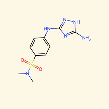 CN(C)S(=O)(=O)c1ccc(Nc2n[nH]c(N)n2)cc1